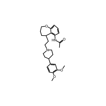 COc1ccc(C2CCN(CCC3CCCOc4cccc(NC(C)=O)c43)CC2)cc1OC